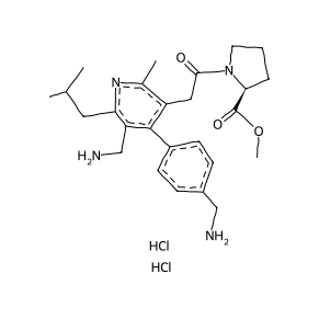 COC(=O)[C@@H]1CCCN1C(=O)Cc1c(C)nc(CC(C)C)c(CN)c1-c1ccc(CN)cc1.Cl.Cl